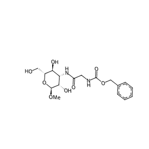 CO[C@H]1O[C@H](CO)[C@@H](O)[C@H](NC(=O)CNC(=O)OCc2ccccc2)[C@@H]1O